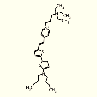 CCCCN(CCCC)c1ccc(-c2ccc(/C=C/c3cc[n+](CCC[N+](CC)(CC)CC)cc3)s2)s1